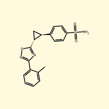 Cc1ccccc1-c1noc([C@@H]2C[C@H]2c2ccc(S(N)(=O)=O)cc2)n1